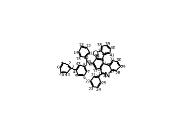 c1ccc(-c2cccc(N(c3ccccc3)c3cc4c(-c5ccccc5)nc5ccccc5c4c4c3oc3ccccc34)c2)cc1